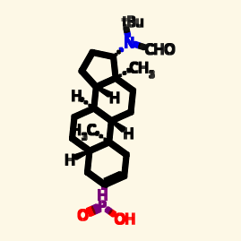 CC(C)(C)N(C=O)[C@H]1CC[C@H]2[C@@H]3CC[C@H]4CC([PH](=O)O)=CC[C@]4(C)[C@H]3CC[C@]12C